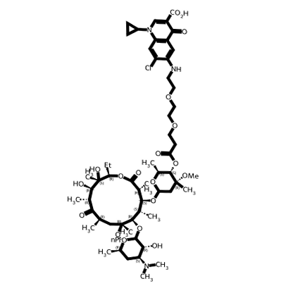 CCCO[C@]1(C)C[C@@H](C)C(=O)[C@H](C)[C@@H](O)[C@](C)(O)[C@@H](CC)OC(=O)[C@H](C)[C@@H](OC2C[C@@](C)(OC)[C@@H](OC(=O)CCOCCOCCNc3cc4c(=O)c(C(=O)O)cn(C5CC5)c4cc3Cl)[C@H](C)O2)[C@H](C)[C@H]1OC1O[C@H](C)C[C@H](N(C)C)[C@H]1O